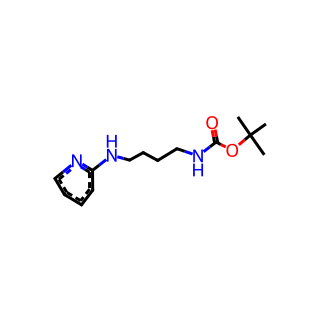 CC(C)(C)OC(=O)NCCCCNc1ccccn1